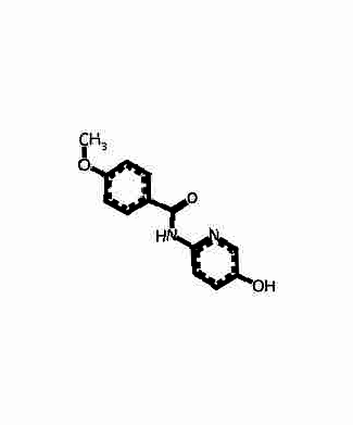 COc1ccc(C(=O)Nc2ccc(O)cn2)cc1